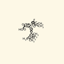 CCN(C(=O)c1cc(F)ccc1Oc1nncnc1N1CCC2(C1)CN(C(CC(O)CN(C)C(C)C)C(C)C)C2)C(C)C.O=C(O)/C=C/C(=O)O